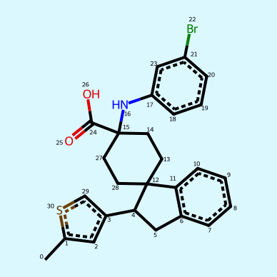 Cc1cc(C2Cc3ccccc3C23CCC(Nc2cccc(Br)c2)(C(=O)O)CC3)cs1